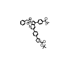 CN(C)C(=O)c1ccc(-c2cn(S(=O)(=O)Cc3ccccc3)c3ncc(-c4ccc(C5=CN(C(=O)OC(C)(C)C)CC5)cc4)cc23)cc1